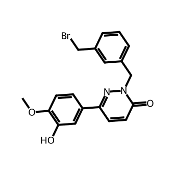 COc1ccc(-c2ccc(=O)n(Cc3cccc(CBr)c3)n2)cc1O